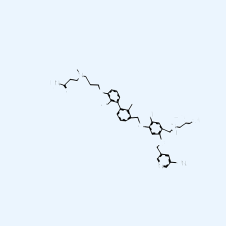 Cc1c(COc2cc(OCc3cncc(C#N)c3)c(CNC[C@H](O)CO)cc2Cl)cccc1-c1cccc(OCCCN(C)CCC(N)=O)c1Cl